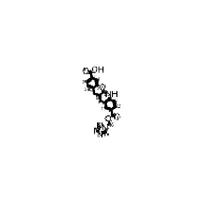 O=C(O)c1ccc(Cc2cc3cc(C(=O)OCn4cnnn4)ccc3[nH]c2=O)cc1